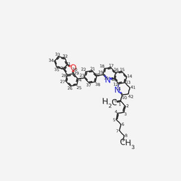 C=C(/C=C\C=C/CCCC)C1=Nc2c(ccc3ccc(-c4ccc(-c5cccc6c5oc5ccccc56)cc4)nc23)CC1